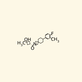 Cc1cc(C2CCC3(CC2)CN(C(=O)[C@H]2C[C@@](C)(O)C2)C3)ccc1F